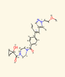 C=C/C(=C\c1cnn(CCOC)c1C)c1ccc(C(=O)N2CCN(C(=O)C3(O)CC3)CC2)cc1